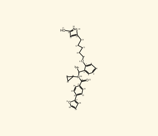 [2H]C(c1ccccc1OCCCCCc1cc(O)ns1)N(C(=O)c1ccc(-c2ccco2)cc1)C1CC1